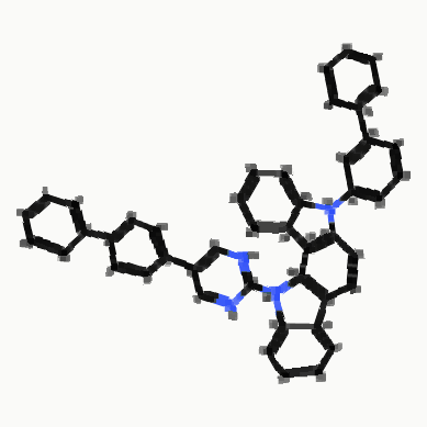 c1ccc(-c2ccc(-c3cnc(-n4c5ccccc5c5ccc6c(c7ccccc7n6-c6cccc(-c7ccccc7)c6)c54)nc3)cc2)cc1